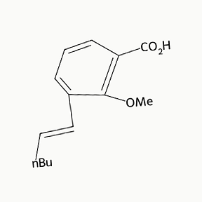 CCCCC=Cc1cccc(C(=O)O)c1OC